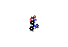 CN1C(=O)COc2ccc(C(c3ccccc3)n3cncn3)cc21